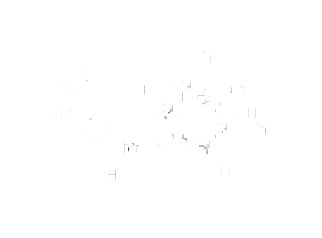 CC(C)C[SiH]1O[Si]2(CC(C)C)O[Si](O)(CC(C)C)O[Si]3(CC(C)C)O[Si](CC(C)C)(OC(C[SiH3])COc4ccc(C(=O)c5ccccc5)cc4)O[Si](CC(C)C)(O1)O[Si](CC(C)C)(O2)O3